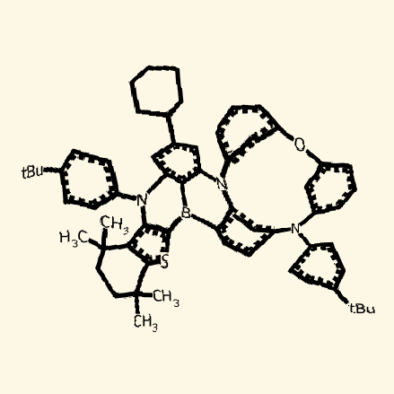 CC(C)(C)c1ccc(N2c3cccc(c3)Oc3cccc(c3)N3c4cc2ccc4B2c4sc5c(c4N(c4ccc(C(C)(C)C)cc4)c4cc(C6CCCCC6)cc3c42)C(C)(C)CCC5(C)C)cc1